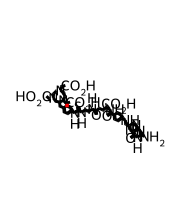 Nc1nc2ncc(CNc3ccc(C(=O)N[C@@H](CCC(=O)NCCNC(=S)Nc4ccc(CC5CN(CC(=O)O)CCN(CC(=O)O)CCN5CC(=O)O)cc4)C(=O)O)cc3)nc2c(=O)[nH]1